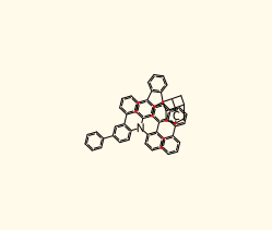 c1ccc(-c2ccc(N(c3ccc4c(c3)C3(c5ccccc5-4)C4CC5CC6CC3C64C5)c3ccccc3-c3cccc4cccc(-c5ccccc5)c34)c(-c3ccccc3)c2)cc1